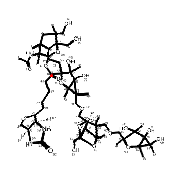 CC(=O)NC1(C)C2(C)CC(C)(CO)C(CO)(O[C@@]1(C)OC(=O)CCCCC1SC[C@@H]3NC(=O)N[C@H]13)C2OCC1(C)OC2(C)C(C)(COC[C@]3(C)OC4(CO)OC(C)(C3(C)COCC3(C)OC5(C)C(C)(O)C5(O)C3(C)O)[C@]4(C)O)C2(O)C1(C)O